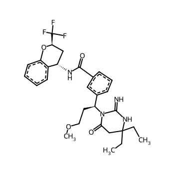 CCC1(CC)CC(=O)N([C@@H](CCOC)c2cccc(C(=O)N[C@H]3C[C@H](C(F)(F)F)Oc4ccccc43)c2)C(=N)N1